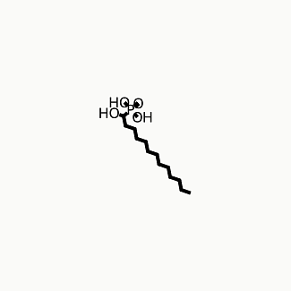 CCCCCCCCCCCCC(O)P(=O)(O)O